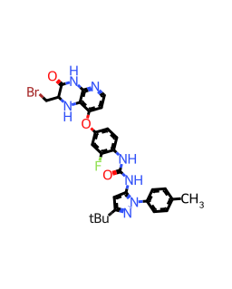 Cc1ccc(-n2nc(C(C)(C)C)cc2NC(=O)Nc2ccc(Oc3ccnc4c3NC(CBr)C(=O)N4)cc2F)cc1